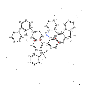 CC1(C)c2ccccc2-c2c(-c3ccccc3N(c3ccc4c(c3)-c3ccccc3C4(C)c3ccccc3)c3ccccc3-c3cccc4c3C(C)(C)c3ccccc3-4)cccc21